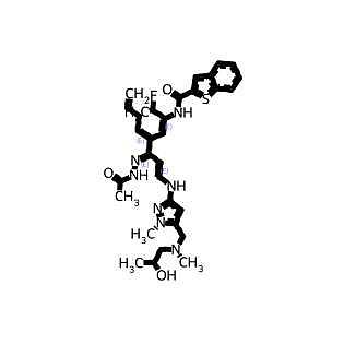 C=CC/C=C(\C=C(\NC(=O)c1cc2ccccc2s1)C(C)F)C(/C=C/Nc1cc(CN(C)CC(C)O)n(C)n1)=N/NC(C)=O